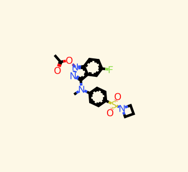 CC(=O)On1nc(N(C)c2ccc(S(=O)(=O)N3CCC3)cc2)c2cc(F)ccc21